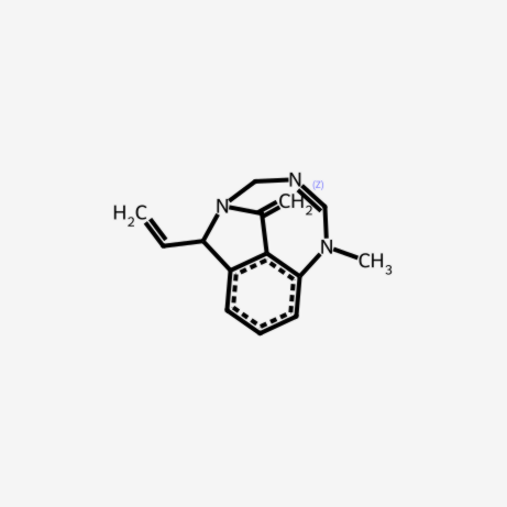 C=CC1c2cccc3c2C(=C)N1C/N=C\N3C